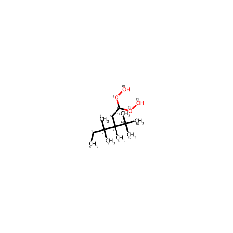 CCC(C)(C)C(C)(CC(OO)OO)C(C)(C)C